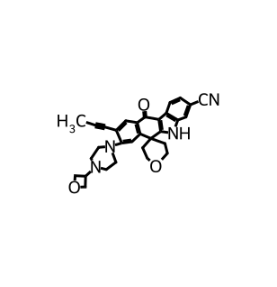 CC#Cc1cc2c(cc1N1CCN(C3COC3)CC1)C1(CCOCC1)c1[nH]c3cc(C#N)ccc3c1C2=O